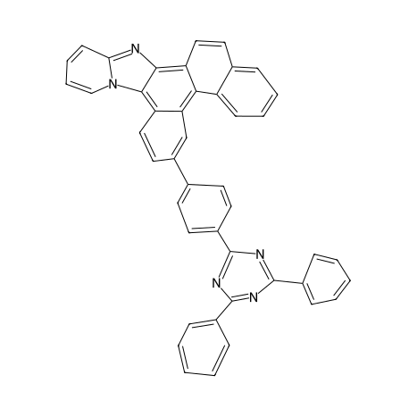 c1ccc(-c2nc(-c3ccccc3)nc(-c3ccc(-c4ccc5c(c4)c4c6ccccc6ccc4c4nc6ccccn6c54)cc3)n2)cc1